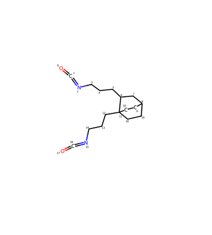 O=C=NCCCC1CC2CCC1(CCCN=C=O)CC2